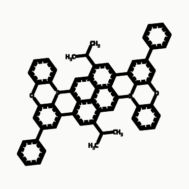 CC(C)c1cc2c3c(cc4c(C(C)C)cc5c6c(cc1c3c46)B1c3ccccc3Oc3cc(-c4ccccc4)cc-5c31)B1c3ccccc3Oc3cc(-c4ccccc4)cc-2c31